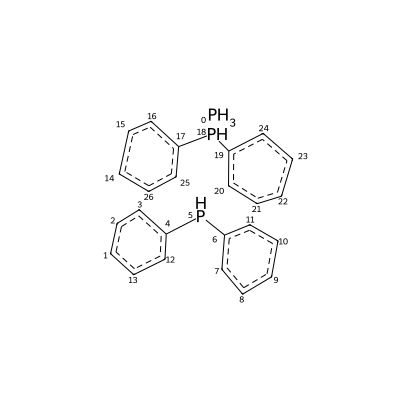 P.c1ccc(Pc2ccccc2)cc1.c1ccc(Pc2ccccc2)cc1